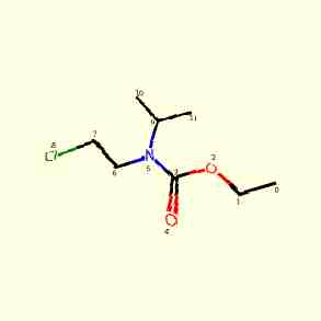 CCOC(=O)N(CCCl)C(C)C